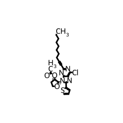 CCCCCCCCC#Cc1nc(Cl)c2nc(-c3cccs3)n([C@@H]3OCC[C@H]3OC(C)=O)c2n1